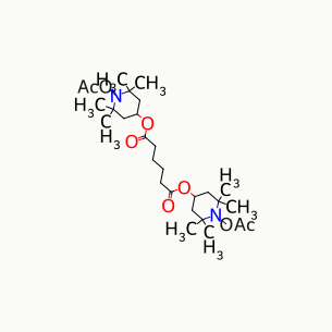 CC(=O)ON1C(C)(C)CC(OC(=O)CCCCC(=O)OC2CC(C)(C)N(OC(C)=O)C(C)(C)C2)CC1(C)C